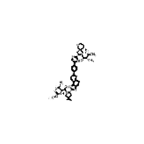 COC(=O)N[C@H](C(=O)N1CC2(CC2)C[C@H]1c1nc2ccc3cc(-c4ccc(-c5cnc([C@@H]6C[C@@]7(CCCOC7)CN6C(=O)[C@@H](C)C(C)C)[nH]5)cc4)ccc3c2[nH]1)C(C)C